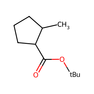 CC1CCCC1C(=O)OC(C)(C)C